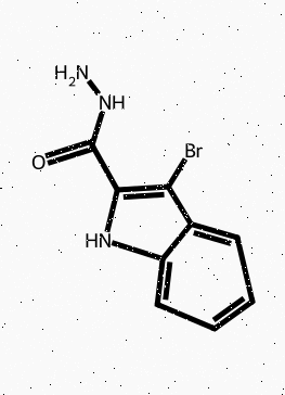 NNC(=O)c1[nH]c2ccccc2c1Br